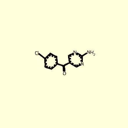 Nc1ncc(C(=O)c2ccc(Cl)cc2)cn1